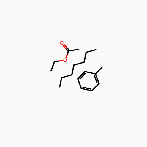 CCCCCCC.CCOC(C)=O.Cc1ccccc1